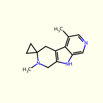 Cc1cncc2[nH]c3c(c12)CC1(CC1)N(C)C3